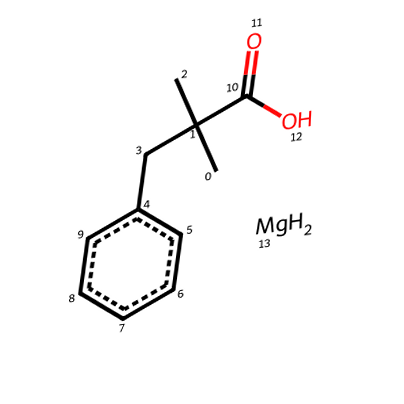 CC(C)(Cc1ccccc1)C(=O)O.[MgH2]